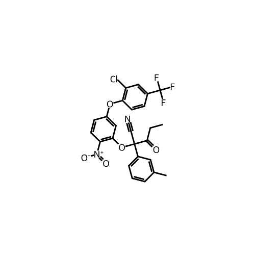 CCC(=O)C(C#N)(Oc1cc(Oc2ccc(C(F)(F)F)cc2Cl)ccc1[N+](=O)[O-])c1cccc(C)c1